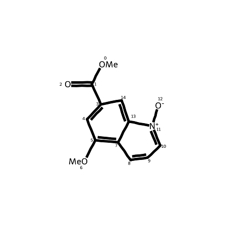 COC(=O)c1cc(OC)c2ccc[n+]([O-])c2c1